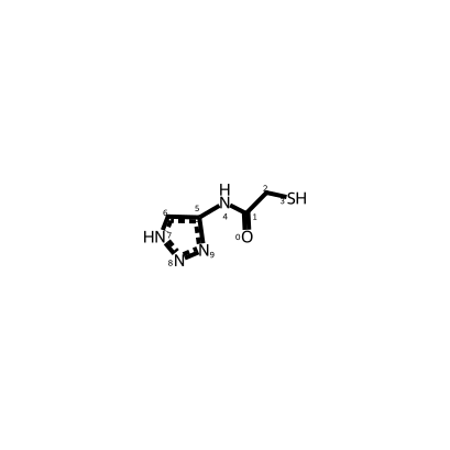 O=C(CS)Nc1c[nH]nn1